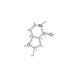 Cc1cc2c(=O)n(C)ccc2o1